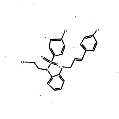 NCCN(c1ccccc1NCC=Cc1ccc(Cl)cc1)S(=O)(=O)c1ccc(Cl)cc1